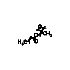 CC=CC(=O)OCC1(C)COC1